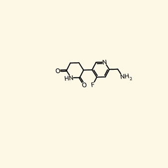 NCc1cc(F)c(C2CCC(=O)NC2=O)cn1